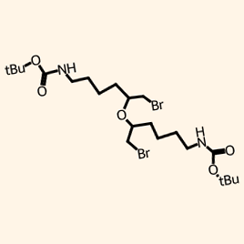 CC(C)(C)OC(=O)NCCCCC(CBr)OC(CBr)CCCCNC(=O)OC(C)(C)C